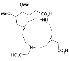 COC(CCC(=O)O)C(CN1CCNCCN(CC(=O)O)CCN(CC(=O)O)CC1)OC